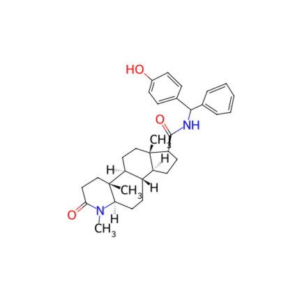 CN1C(=O)CC[C@]2(C)[C@H]3CC[C@]4(C)[C@@H](C(=O)NC(c5ccccc5)c5ccc(O)cc5)CC[C@H]4[C@@H]3CC[C@@H]12